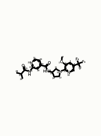 COc1cc(C(F)(F)F)cnc1N1CCC(NC(=O)c2ccnc(NC(=O)C(C)C)c2)C1